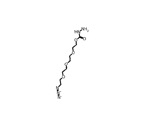 [N-]=[N+]=NCCOCCOCCOCCOC(=O)NN